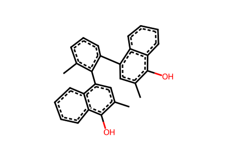 Cc1cccc(-c2cc(C)c(O)c3ccccc23)c1-c1cc(C)c(O)c2ccccc12